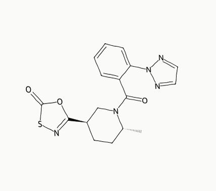 C[C@@H]1CC[C@@H](c2nsc(=O)o2)CN1C(=O)c1ccccc1-n1nccn1